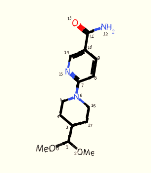 COC(OC)C1CCN(c2ccc(C(N)=O)cn2)CC1